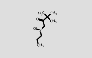 CCC[S+]([O-])CC(=O)C(C)(C)C